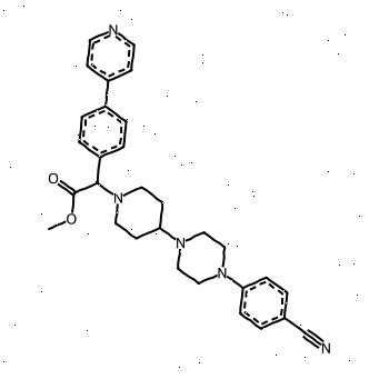 COC(=O)C(c1ccc(-c2ccncc2)cc1)N1CCC(N2CCN(c3ccc(C#N)cc3)CC2)CC1